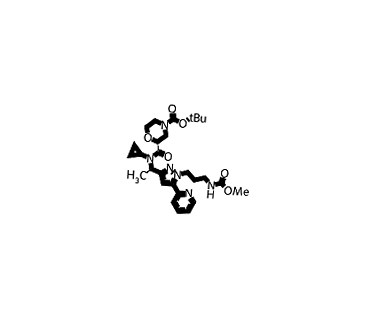 COC(=O)NCCCn1nc([C@H](C)N(C(=O)[C@H]2CN(C(=O)OC(C)(C)C)CCO2)C2CC2)cc1-c1ccccn1